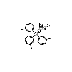 Cc1cccc([Si]([O-])(c2cccc(C)c2)c2cccc(C)c2)c1.[Br-].[Mg+2]